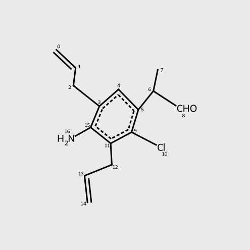 C=CCc1cc(C(C)C=O)c(Cl)c(CC=C)c1N